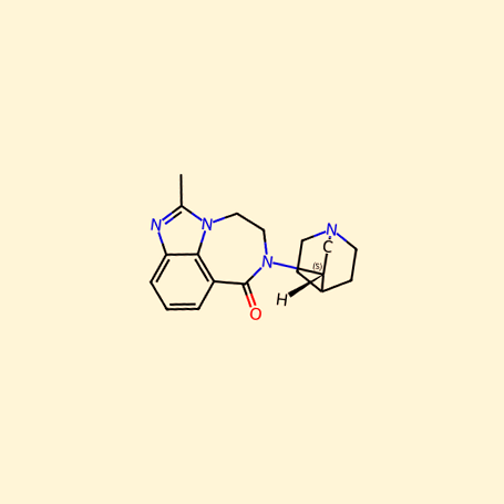 Cc1nc2cccc3c2n1CCN([C@@H]1CN2CCC1CC2)C3=O